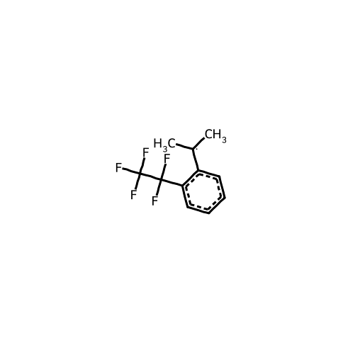 C[C](C)c1ccccc1C(F)(F)C(F)(F)F